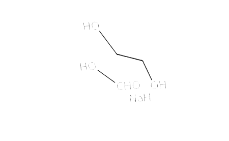 O=CO.OCCO.[NaH]